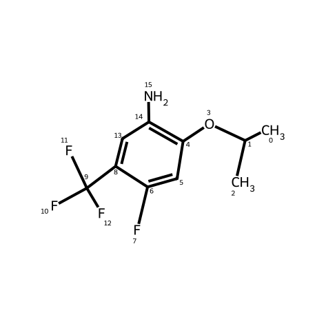 CC(C)Oc1cc(F)c(C(F)(F)F)cc1N